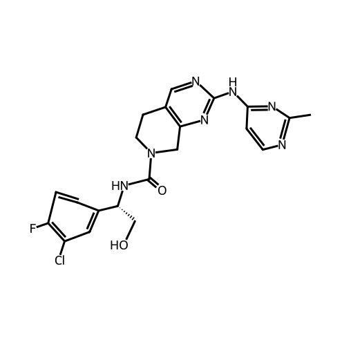 Cc1nccc(Nc2ncc3c(n2)CN(C(=O)N[C@H](CO)c2ccc(F)c(Cl)c2)CC3)n1